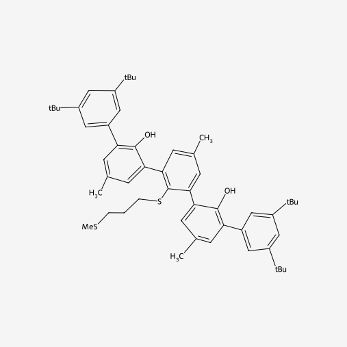 CSCCCSc1c(-c2cc(C)cc(-c3cc(C(C)(C)C)cc(C(C)(C)C)c3)c2O)cc(C)cc1-c1cc(C)cc(-c2cc(C(C)(C)C)cc(C(C)(C)C)c2)c1O